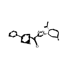 CC(C)[C@@H]1CC[C@@H](C)C[C@H]1n1cc(C(=O)c2ccc(-c3ccccc3)cc2)nn1